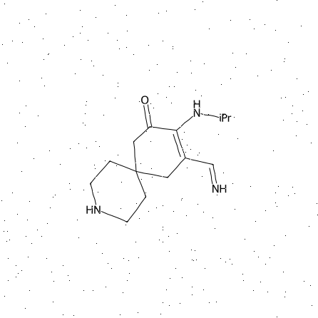 CC(C)NC1=C(C=N)CC2(CCNCC2)CC1=O